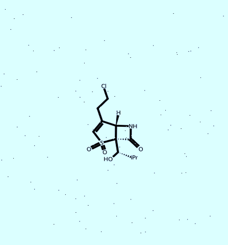 CC(C)[C@H](O)[C@]12C(=O)N[C@H]1C(CCCl)=CS2(=O)=O